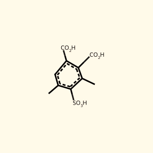 Cc1cc(C(=O)O)c(C(=O)O)c(C)c1S(=O)(=O)O